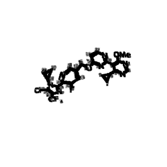 COc1ncnc(C2CC2)c1-c1nccc(OCc2cnc(-c3nc(C(F)(F)F)c(Cl)n3C3CC3)c(F)c2)n1